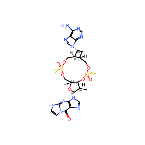 C[C@@H]1[C@@H]2OP(=O)(S)OC[C@H]3C[C@@H](n4cnc5c(N)ncnc54)[C@@H]3COP(=O)(S)OC[C@H]2O[C@H]1n1cnc2c(=O)n3cc[nH]c3nc21